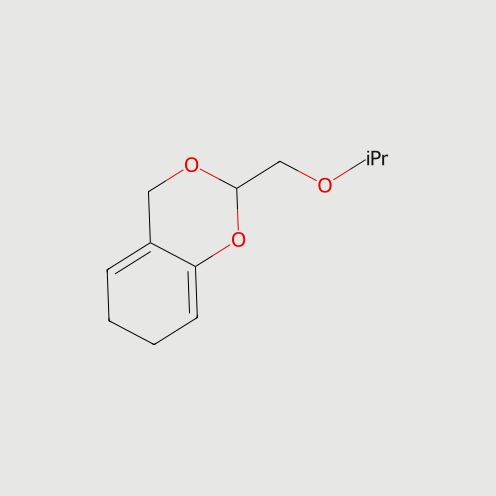 CC(C)OCC1OCC2=CCCC=C2O1